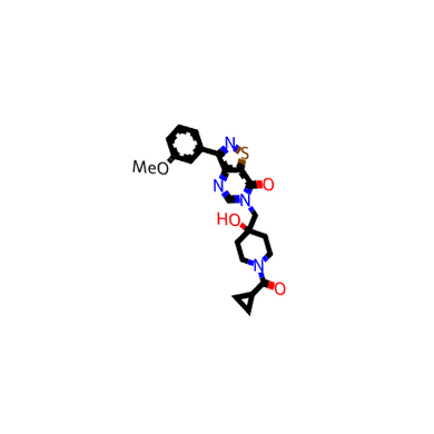 COc1cccc(-c2nsc3c(=O)n(CC4(O)CCN(C(=O)C5CC5)CC4)cnc23)c1